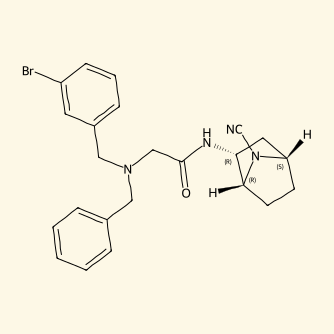 N#CN1[C@H]2CC[C@@H]1[C@H](NC(=O)CN(Cc1ccccc1)Cc1cccc(Br)c1)C2